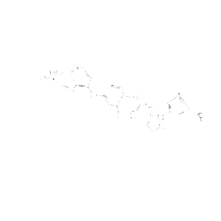 O=C(Nc1ccc(Oc2ccnc3[nH]c(=O)cnc23)cc1F)Nc1ccnn1-c1cccc(F)c1